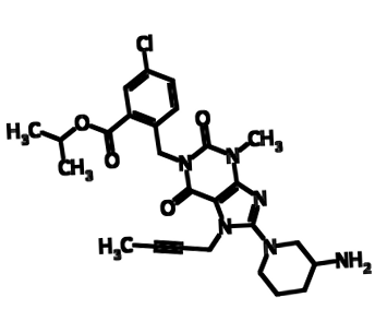 CC#CCn1c(N2CCCC(N)C2)nc2c1c(=O)n(Cc1ccc(Cl)cc1C(=O)OC(C)C)c(=O)n2C